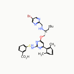 Cc1cccc(C)c1-c1cc(OC[C@@H](CC(C)(C)C)NCc2ncc(Br)cn2)nc(NSc2cccc(C(=O)O)c2)n1